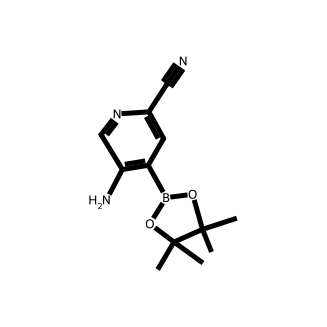 CC1(C)OB(c2cc(C#N)ncc2N)OC1(C)C